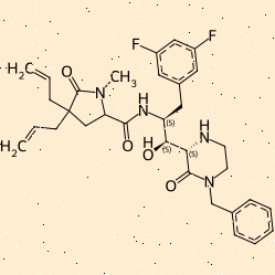 C=CCC1(CC=C)CC(C(=O)N[C@@H](Cc2cc(F)cc(F)c2)[C@H](O)[C@@H]2NCCN(Cc3ccccc3)C2=O)N(C)C1=O